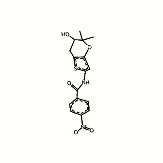 CC1(C)Oc2cc(NC(=O)c3ccc([N+](=O)[O-])cc3)sc2CC1O